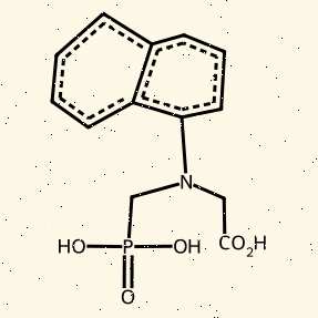 O=C(O)CN(CP(=O)(O)O)c1cccc2ccccc12